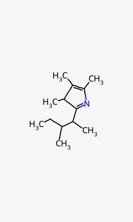 CCC(C)C(C)C1=NC(C)=C(C)C1C